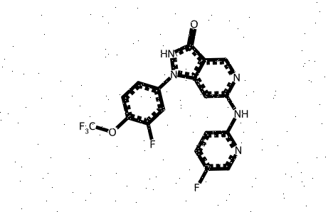 O=c1[nH]n(-c2ccc(OC(F)(F)F)c(F)c2)c2cc(Nc3ccc(F)cn3)ncc12